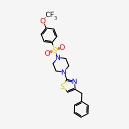 O=S(=O)(c1ccc(OC(F)(F)F)cc1)N1CCN(c2nc(Cc3ccccc3)cs2)CC1